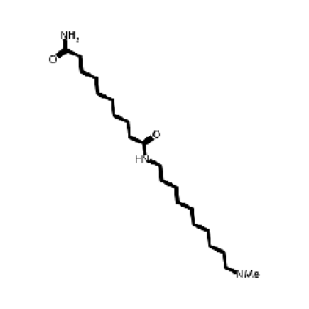 CNCCCCCCCCCCNC(=O)CCCCCCCCC(N)=O